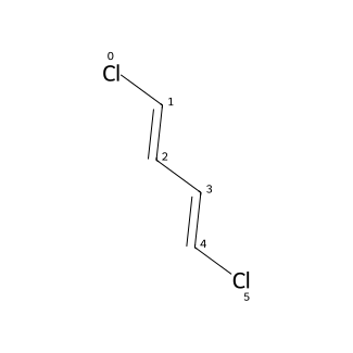 Cl/C=C/C=C/Cl